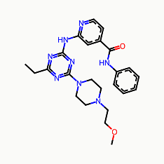 CCc1nc(Nc2cc(C(=O)Nc3ccccc3)ccn2)nc(N2CCN(CCOC)CC2)n1